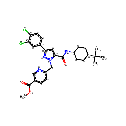 COC(=O)c1ccc(Cn2nc(-c3ccc(Cl)c(Cl)c3)cc2C(=O)N[C@H]2CC[C@@H](C(C)(C)C)CC2)nc1